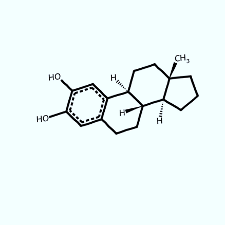 C[C@@]12CCC[C@H]1[C@@H]1CCc3cc(O)c(O)cc3[C@H]1CC2